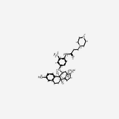 C[C@]12C[C@H](Oc3ccc(NC(=O)CCN4CCOCC4)c(C(F)(F)F)c3)[C@@H]3c4ccc(O)cc4CC[C@H]3[C@@H]1CC[C@@H]2O